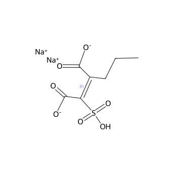 CCC/C(C(=O)[O-])=C(/C(=O)[O-])S(=O)(=O)O.[Na+].[Na+]